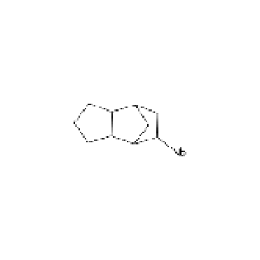 [Nb][CH]1CC2CC1C1CCCC21